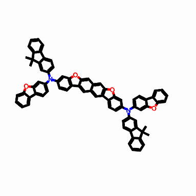 CC1(C)c2ccccc2-c2ccc(N(c3ccc4c(c3)oc3ccccc34)c3ccc4c(c3)oc3cc5cc6oc7cc(N(c8ccc9c(c8)C(C)(C)c8ccccc8-9)c8ccc9c(c8)oc8ccccc89)ccc7c6cc5cc34)cc21